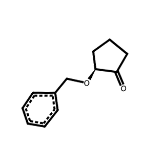 O=C1CCC[C@@H]1OCc1ccccc1